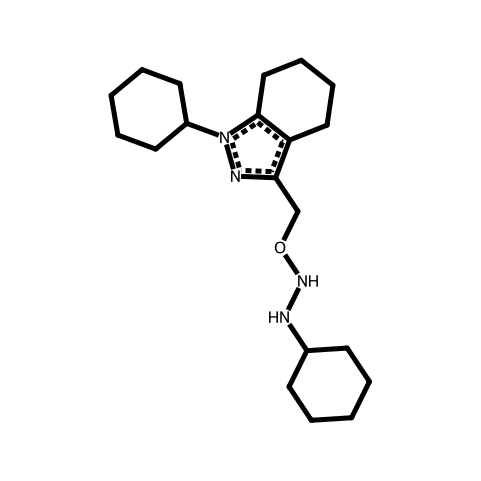 C1CCC(NNOCc2nn(C3CCCCC3)c3c2CCCC3)CC1